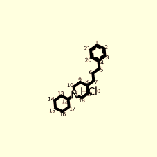 Cl.c1ccc(CCCC2CCN(C3CCCCC3)CC2)cc1